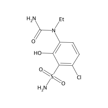 CCN(C(N)=O)c1ccc(Cl)c(S(N)(=O)=O)c1O